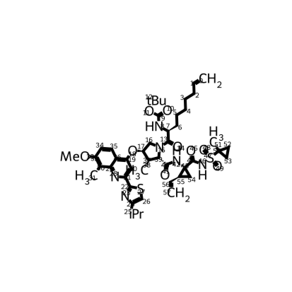 C=CCCCCC[C@H](NC(=O)OC(C)(C)C)C(=O)N1C[C@H](Oc2cc(-c3nc(C(C)C)cs3)nc3c(C)c(OC)ccc23)[C@H](C)[C@H]1C(=O)N[C@]1(C(=O)NS(=O)(=O)C2(C)CC2)C[C@H]1C=C